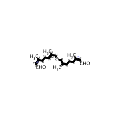 CC(=CCC/C(C)=C\C=O)COCC(C)=CCC/C(C)=C\C=O